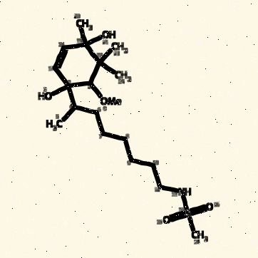 COC1C(O)(C(C)CCCCCCNS(C)(=O)=O)C=CC(C)(O)C1(C)C